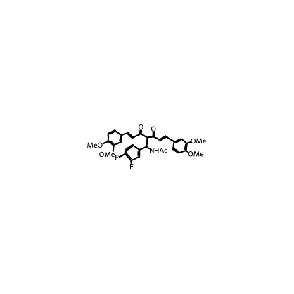 COc1ccc(C=CC(=O)C(C(=O)C=Cc2ccc(OC)c(OC)c2)C(NC(C)=O)c2ccc(F)c(F)c2)cc1OC